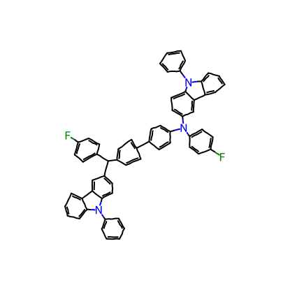 Fc1ccc(C(c2ccc(-c3ccc(N(c4ccc(F)cc4)c4ccc5c(c4)c4ccccc4n5-c4ccccc4)cc3)cc2)c2ccc3c(c2)c2ccccc2n3-c2ccccc2)cc1